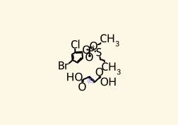 CCCSP(=O)(OCC)Oc1ccc(Br)cc1Cl.O=C(O)/C=C/C(=O)O